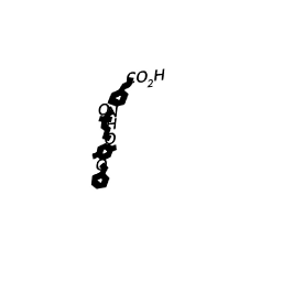 Cc1cc(OCc2ccccc2)c(C)cc1OCCCC(C)(C)C(=O)Nc1ccc(/C=C/C(=O)O)cc1